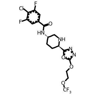 O=C(N[C@H]1CC[C@H](c2nnc(OCCOC(F)(F)F)o2)NC1)c1cc(F)c(Cl)c(F)c1